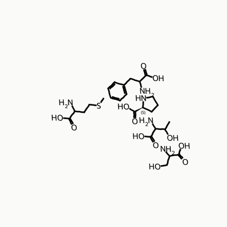 CC(O)C(N)C(=O)O.CSCCC(N)C(=O)O.NC(CO)C(=O)O.NC(Cc1ccccc1)C(=O)O.O=C(O)[C@@H]1CCCN1